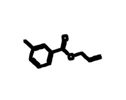 C=CCOC(=O)c1cccc(C)c1